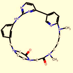 CN1CCCN(C)c2ccc(cn2)-c2ccnc(n2)Nc2cccc(c2)CN2CCN(CC1=O)C(=O)C2